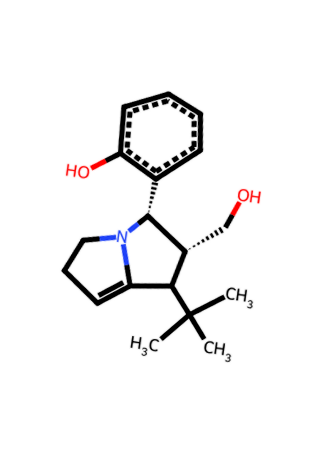 CC(C)(C)C1C2=CCCN2[C@H](c2ccccc2O)[C@@H]1CO